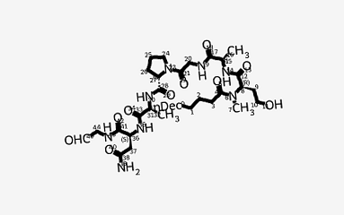 CCCCCCCCCCCCCC(=O)N(C)[C@H](CCO)C(=O)N[C@H](C)C(=O)NCC(=O)N1CCC[C@H]1C(=O)N[C@@H](C)C(=O)N[C@@H](CC(N)=O)C(=O)NCC=O